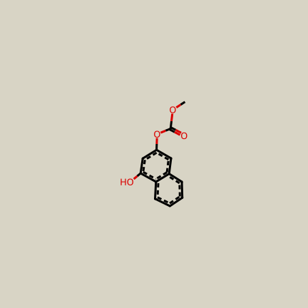 COC(=O)Oc1cc(O)c2ccccc2c1